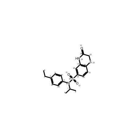 CCc1ccc(N(C(C)C)S(=O)(=O)c2ccc3c(c2)NC(=O)CS3)cc1